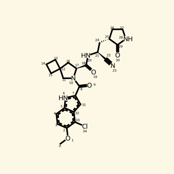 COc1ccc2[nH]c(C(=O)N3CC4(CCC4)C[C@H]3C(=O)N[C@H](C#N)C[C@@H]3CCNC3=O)cc2c1Cl